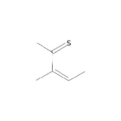 CC=C(C)C(C)=S